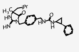 CC(C)CC1(C)NC(=N)N(Cc2ccc(CNC(=O)NC3C[C@H]3c3ccccc3)cc2)C1=O